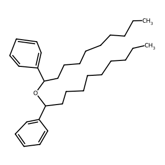 CCCCCCCCCC(OC(CCCCCCCCC)c1ccccc1)c1ccccc1